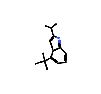 CC(C)C1=CC2C(C(C)(C)C)=CC=CC2=N1